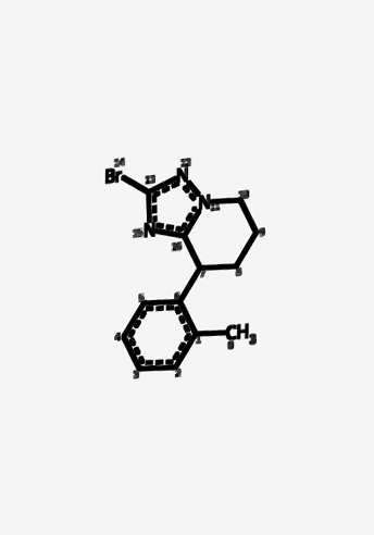 Cc1ccccc1C1CCCn2nc(Br)nc21